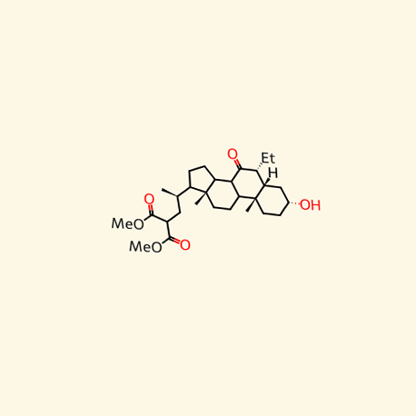 CC[C@H]1C(=O)C2C3CCC([C@H](C)CC(C(=O)OC)C(=O)OC)[C@@]3(C)CCC2[C@@]2(C)CC[C@@H](O)C[C@@H]12